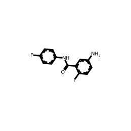 Nc1ccc(I)c(C(=O)Nc2ccc(F)cc2)c1